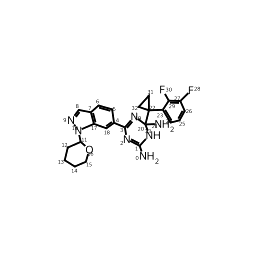 NC1=NC(c2ccc3cnn(C4CCCCO4)c3c2)=NC(N)(C2(c3cccc(F)c3F)CC2)N1